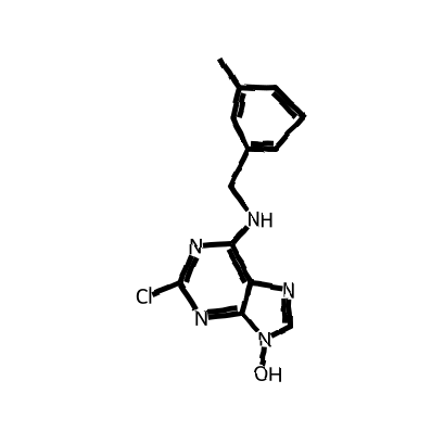 Cc1cccc(CNc2nc(Cl)nc3c2ncn3O)c1